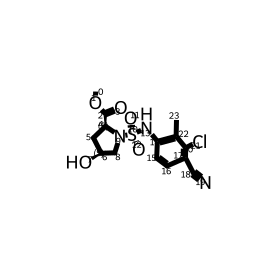 COC(=O)[C@@H]1C[C@H](O)CN1S(=O)(=O)Nc1ccc(C#N)c(Cl)c1C